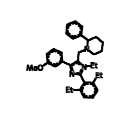 CCc1cccc(CC)c1-c1nc(-c2cccc(OC)c2)c(CN2CCCCC2c2ccccc2)n1CC